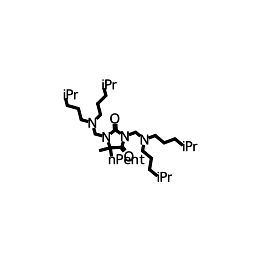 CCCCCC1(C)C(=O)N(CN(CCCC(C)C)CCCC(C)C)C(=O)N1CN(CCCC(C)C)CCCC(C)C